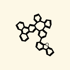 c1ccc2c(c1)-c1ccccc1-c1cc3c4ccccc4c4ccccc4c3cc1-c1cc(-c3cccc4c3oc3ccccc34)ccc1-2